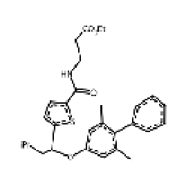 CCOC(=O)CCNC(=O)c1ccc(C(CC(C)C)Oc2cc(C)c(-c3ccccc3)c(C)c2)s1